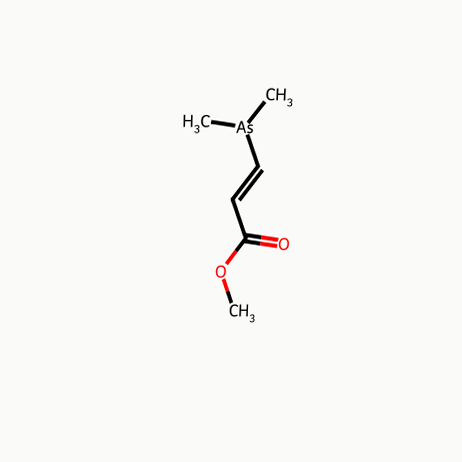 COC(=O)C=C[As](C)C